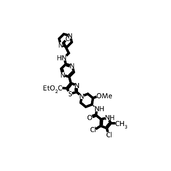 CCOC(=O)c1sc(N2CC[C@@H](NC(=O)c3[nH]c(C)c(Cl)c3Cl)C(OC)C2)nc1-c1cnc(NCC2CN3CCN2CC3)cn1